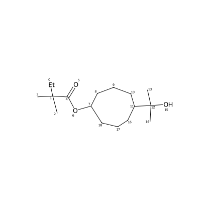 CCC(C)(C)C(=O)OC1CCCC(C(C)(C)O)CCC1